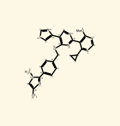 COc1ncnc(C2CC2)c1-c1ncc(-c2cscn2)c(OCc2ccc(-c3nc(C(F)(F)F)cn3C)cc2)n1